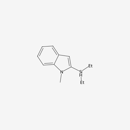 CC[SiH](CC)c1cc2ccccc2n1C